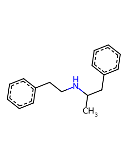 CC(Cc1ccccc1)NCCc1ccccc1